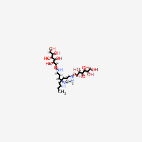 CCCCC(CCCNOCC(O)C(O)C(O)C(O)CO)(CCCNOCC(O)C(O)C(O)C(O)CO)NC